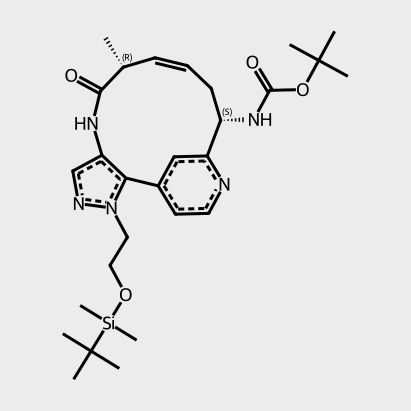 C[C@@H]1C=CC[C@H](NC(=O)OC(C)(C)C)c2cc(ccn2)-c2c(cnn2CCO[Si](C)(C)C(C)(C)C)NC1=O